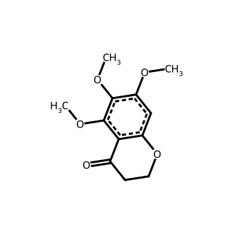 COc1cc2c(c(OC)c1OC)C(=O)CCO2